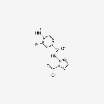 CNc1ccc([S+]([O-])Nc2scnc2C(=O)O)cc1F